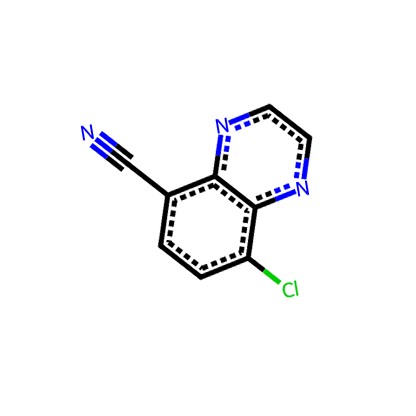 N#Cc1ccc(Cl)c2nccnc12